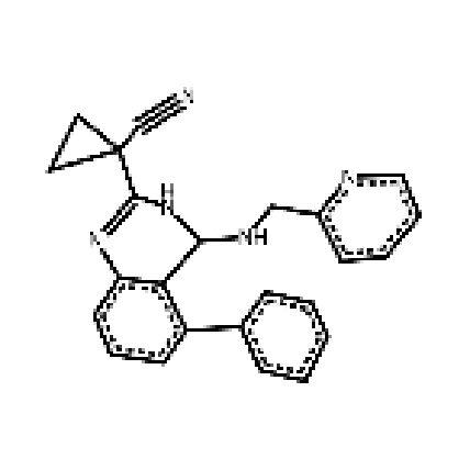 N#CC1(C2=Nc3cccc(-c4ccccc4)c3C(NCc3ccccn3)N2)CC1